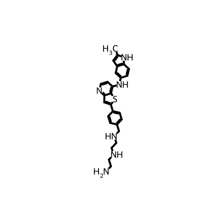 Cc1cc2cc(Nc3ccnc4cc(-c5ccc(CNCCNCCN)cc5)sc34)ccc2[nH]1